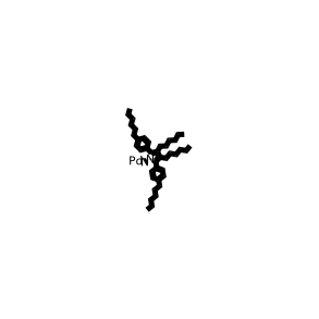 CCCCCCC1=C(c2ccc(CCCCCC)cc2)[N+](=[N-])C(c2ccc(CCCCCC)cc2)=C1CCCCCC.[Pd]